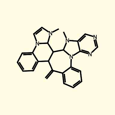 C=C1c2ccccc2N2c3ncncc3N(C)C2C2C1c1ccccc1N1C=CN(C)C21